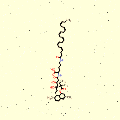 CC/C=C\C/C=C\C/C=C\C/C=C\C/C=C\C/C=C\CCC(=O)NCCCCC(NC(=O)C[C@H](O)C[C@@H](O)CC[C@@H]1C2C(=C[C@H](C)CC2OC(=O)C(C)(C)CC)C=C[C@@H]1C)C(=O)O